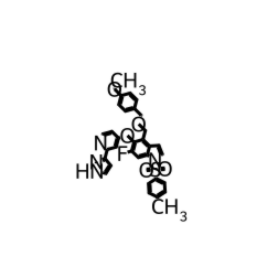 COc1ccc(COCc2c(Oc3ccnc(-c4cc[nH]n4)c3)c(F)cc3c2ccn3S(=O)(=O)c2ccc(C)cc2)cc1